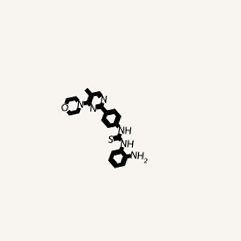 Cc1cnc(-c2ccc(NC(=S)Nc3ccccc3N)cc2)nc1N1CCOCC1